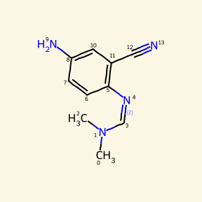 CN(C)/C=N\c1ccc(N)cc1C#N